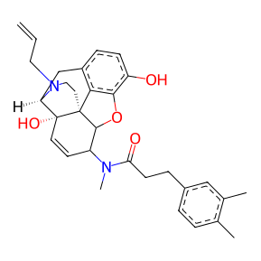 C=CCN1CC[C@]23c4c5ccc(O)c4OC2C(N(C)C(=O)CCc2ccc(C)c(C)c2)C=C[C@@]3(O)[C@H]1C5